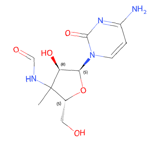 CC1(NC=O)[C@@H](CO)O[C@H](n2ccc(N)nc2=O)[C@@H]1O